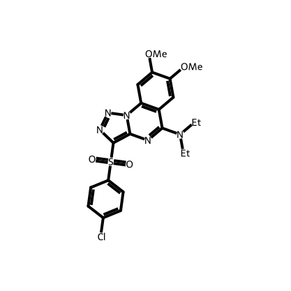 CCN(CC)c1nc2c(S(=O)(=O)c3ccc(Cl)cc3)nnn2c2cc(OC)c(OC)cc12